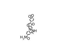 C[C@H](Nc1cc2c(=O)c(-c3ccc4c(c3)OCO4)coc2cn1)c1cccc(C(N)=O)c1